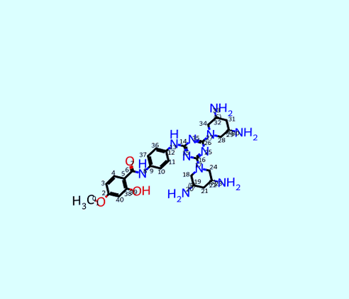 COc1ccc(C(=O)Nc2ccc(Nc3nc(N4C[C@H](N)C[C@H](N)C4)nc(N4C[C@H](N)C[C@H](N)C4)n3)cc2)c(O)c1